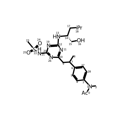 CC(=O)N(C)c1ccc(C(C)Cc2nc(N[C@@H](CO)CC(C)C)nc(NS(C)(=O)=O)n2)cc1